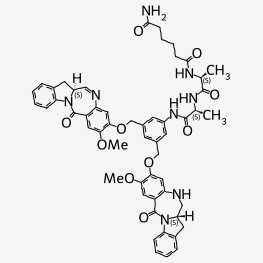 COc1cc2c(cc1OCc1cc(COc3cc4c(cc3OC)C(=O)N3c5ccccc5C[C@H]3CN4)cc(NC(=O)[C@H](C)NC(=O)[C@H](C)NC(=O)CCCCC(N)=O)c1)N=C[C@@H]1Cc3ccccc3N1C2=O